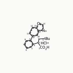 CC(C)(C)CC(C(=O)O)c1ccccc1-c1ccc2ocnc2c1.Cl